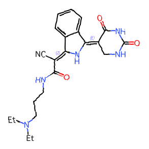 CCN(CC)CCCNC(=O)/C(C#N)=c1\[nH]/c(=C2\CNC(=O)NC2=O)c2ccccc12